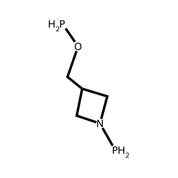 POCC1CN(P)C1